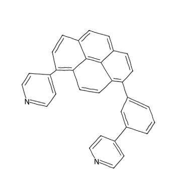 c1cc(-c2ccncc2)cc(-c2ccc3ccc4ccc(-c5ccncc5)c5ccc2c3c45)c1